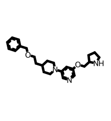 c1ccc(COCCC2CCN(c3cncc(OCC4CCCN4)c3)CC2)cc1